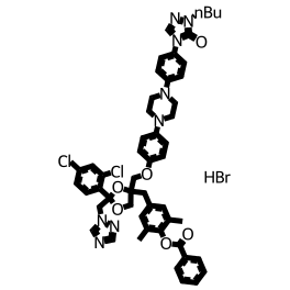 Br.CCCCn1ncn(-c2ccc(N3CCN(c4ccc(OCC5(Cc6cc(C)c(OC(=O)c7ccccc7)c(C)c6)COC(Cn6cncn6)(c6ccc(Cl)cc6Cl)O5)cc4)CC3)cc2)c1=O